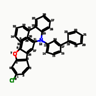 Clc1ccc2c(c1)oc1ccc(N(c3cccc(-c4ccccc4)c3)c3ccccc3-c3ccccc3)cc12